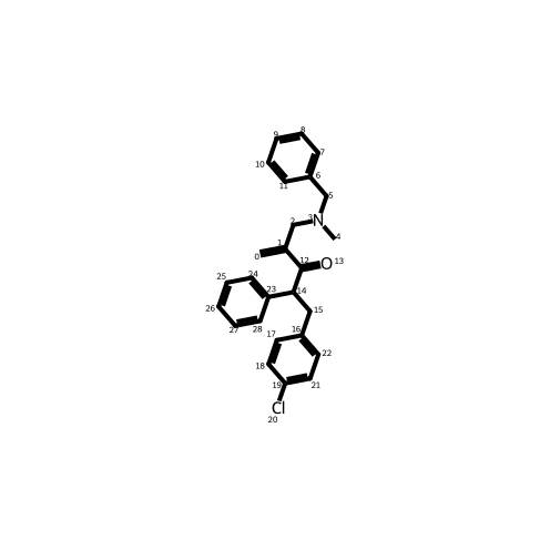 C=C(CN(C)Cc1ccccc1)C(=O)C(Cc1ccc(Cl)cc1)c1ccccc1